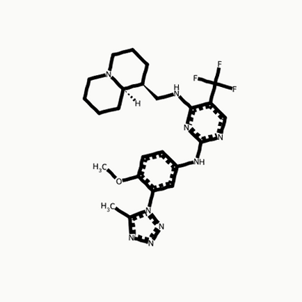 COc1ccc(Nc2ncc(C(F)(F)F)c(NC[C@@H]3CCCN4CCCC[C@H]34)n2)cc1-n1nnnc1C